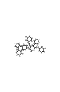 c1ccc(-n2c3ccccc3c3c2ccc2c4cc5c6ccccc6n6ccnc6c5cc4n(-c4ccccc4)c23)cc1